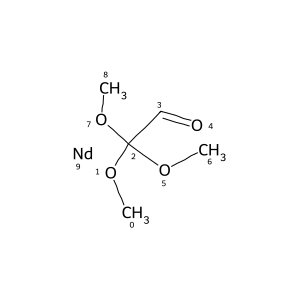 COC(C=O)(OC)OC.[Nd]